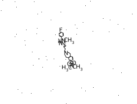 CN(C)S(=O)(=O)c1ccc2c(c1)CCN(CCCSc1nnc(-c3ccc(F)cc3)n1C)CC2